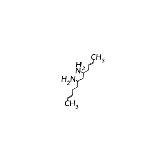 C/C=C/CCC(N)CC(N)C/C=C/C